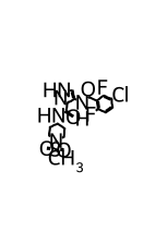 CS(=O)(=O)N1CCC(NC(=O)c2n[nH]cc2NC(=O)c2c(F)ccc(Cl)c2F)CC1